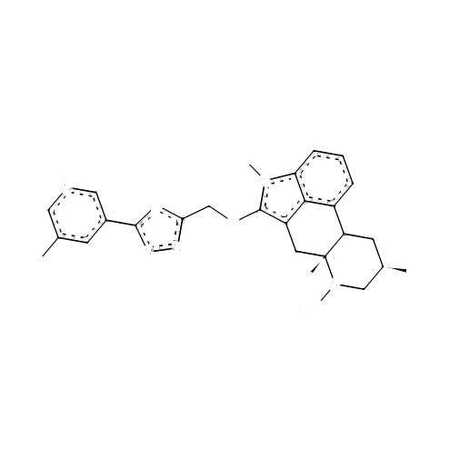 C[C@@H]1C[C@@H]2c3cccc4c3c(c(OCc3nnc(-c5cncc(Br)c5)o3)n4C)C[C@H]2N(C)C1